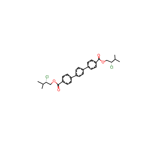 CC(C)[C@H](Cl)COC(=O)c1ccc(-c2ccc(-c3ccc(C(=O)OC[C@@H](Cl)C(C)C)cc3)cc2)cc1